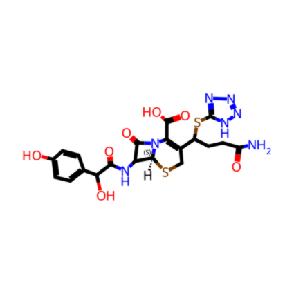 NC(=O)CCC(Sc1nnn[nH]1)C1=C(C(=O)O)N2C(=O)C(NC(=O)C(O)c3ccc(O)cc3)[C@@H]2SC1